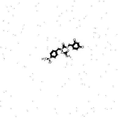 C[S+]([O-])c1ccc(CN(OC(N)=O)C(=O)OCc2ccc(Cl)cc2Cl)cc1